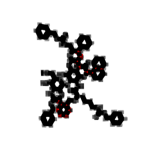 O=C(NCCCC[C@H](OCc1ccccc1)C(=O)N[C@@H]1C(OCc2ccccc2)[C@H](NC(=O)OCc2ccccc2)C(O[C@H]2OC(CNC(=O)OCc3ccccc3)CCC2NC(=O)OCc2ccccc2)C(O)[C@H]1O[C@H]1OC(CO)[C@@H](O)[C@H](NC(=O)OCc2ccccc2)C1OCc1ccccc1)OCc1ccccc1